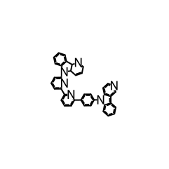 C1=CC2C(N=C1)c1ccccc1N2c1cccc(-c2cccc(-c3ccc(-n4c5ccccc5c5cnccc54)cc3)n2)n1